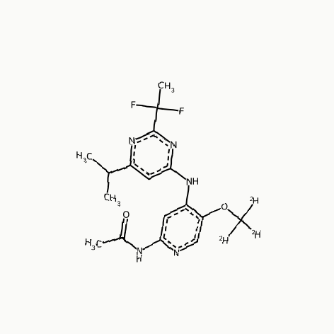 [2H]C([2H])([2H])Oc1cnc(NC(C)=O)cc1Nc1cc(C(C)C)nc(C(C)(F)F)n1